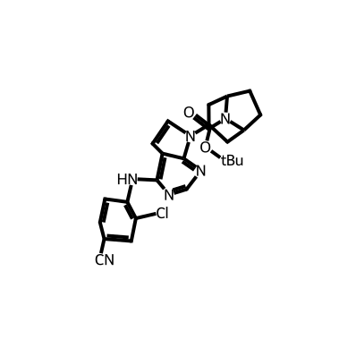 CC(C)(C)OC(=O)N1C2CCC1CC(n1ccc3c(Nc4ccc(C#N)cc4Cl)ncnc31)C2